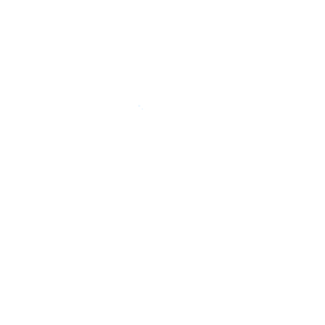 CC(N)c1cccc2c1C(=O)c1c(cccc1C(C)N)C2=O